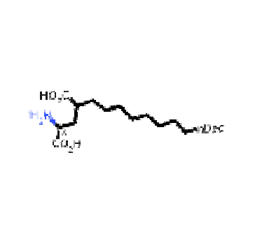 CCCCCCCCCCCCCCCCCCC(C[C@H](N)C(=O)O)C(=O)O